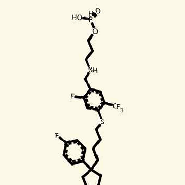 O=[PH](O)OCCCNCc1cc(C(F)(F)F)c(SCCCCC2(c3ccc(F)cc3)CCCC2)cc1F